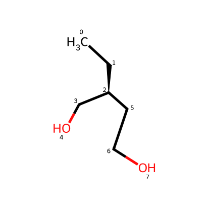 CC[C@H](CO)CCO